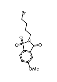 COc1ccc2c(c1)C(=O)N(CCCCBr)S2(=O)=O